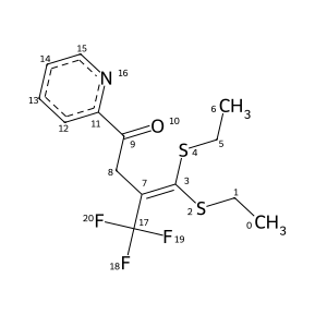 CCSC(SCC)=C(CC(=O)c1ccccn1)C(F)(F)F